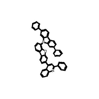 c1ccc(-c2ccc3c4ccc(-c5ccccc5)cc4n(-c4cccc5c4oc4cc(-c6cc(-c7ccccc7)nc7ccccc67)ccc45)c3c2)cc1